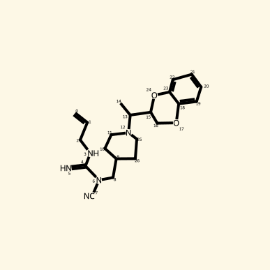 C=CCNC(=N)N(C#N)CC1CCN(C(C)C2COc3ccccc3O2)CC1